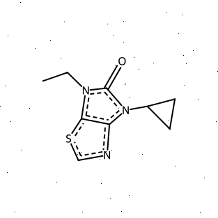 CCn1c(=O)n(C2CC2)c2ncsc21